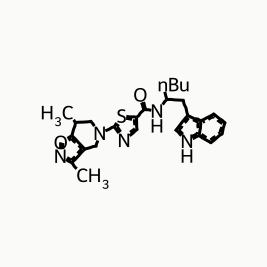 CCCCC(Cc1c[nH]c2ccccc12)NC(=O)c1cnc(N2Cc3c(C)noc3C(C)C2)s1